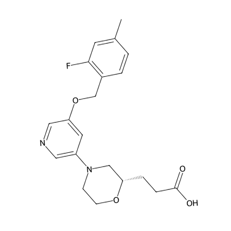 Cc1ccc(COc2cncc(N3CCO[C@@H](CCC(=O)O)C3)c2)c(F)c1